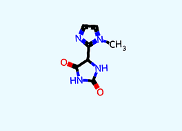 Cn1ccnc1C1NC(=O)NC1=O